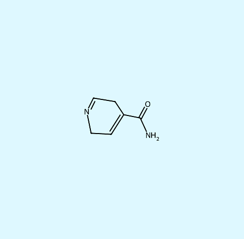 NC(=O)C1=CCN=CC1